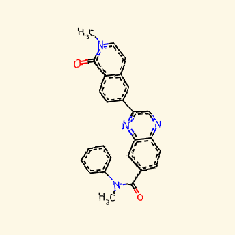 CN(C(=O)c1ccc2ncc(-c3ccc4c(=O)n(C)ccc4c3)nc2c1)c1ccccc1